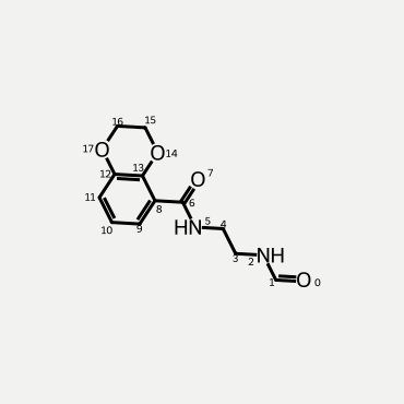 O=CNCCNC(=O)c1cccc2c1OCCO2